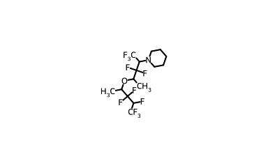 CC(OC(C)C(F)(F)C(N1CCCCC1)C(F)(F)F)C(F)(F)C(F)C(F)(F)F